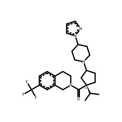 CC(C)[C@]1(C(=O)N2CCc3ccc(C(F)(F)F)cc3C2)CCC(N2CCC(n3cccn3)CC2)C1